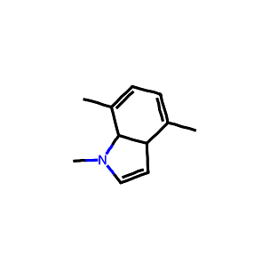 CC1=CC=C(C)C2C1C=CN2C